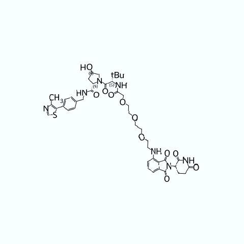 Cc1ncsc1-c1ccc(CNC(=O)[C@@H]2C[C@@H](O)CN2C(=O)[C@@H](NC(=O)COCCOCCOCCNc2cccc3c2C(=O)N(C2CCC(=O)NC2=O)C3=O)C(C)(C)C)cc1